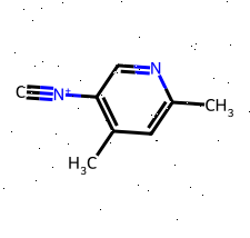 [C-]#[N+]c1cnc(C)cc1C